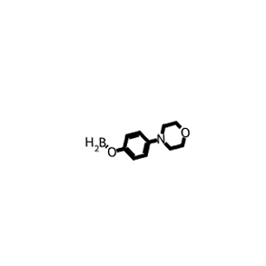 BOc1ccc(N2CCOCC2)cc1